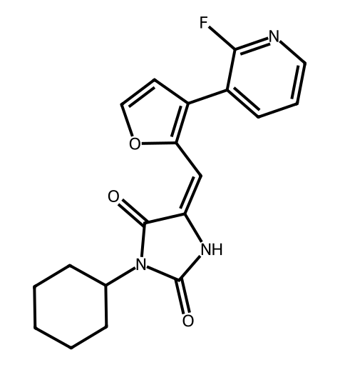 O=C1NC(=Cc2occc2-c2cccnc2F)C(=O)N1C1CCCCC1